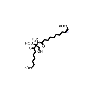 CCCCCCCC/C=C\CCCCCCCC(=O)N(P)C(CO)(C(=O)O)C(=O)CCCCCCCCCCCCCCC